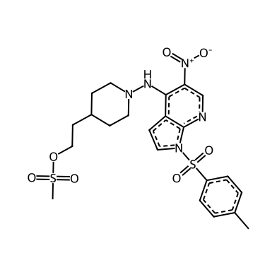 Cc1ccc(S(=O)(=O)n2ccc3c(NN4CCC(CCOS(C)(=O)=O)CC4)c([N+](=O)[O-])cnc32)cc1